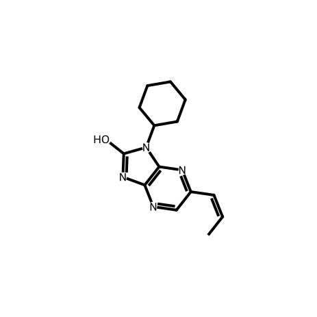 C/C=C\c1cnc2nc(O)n(C3CCCCC3)c2n1